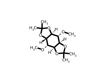 CO[C@@H]1[C@H]2OC(C)(C)O[C@H]2[C@H](OC)[C@@H]2OC(C)(C)O[C@@H]12